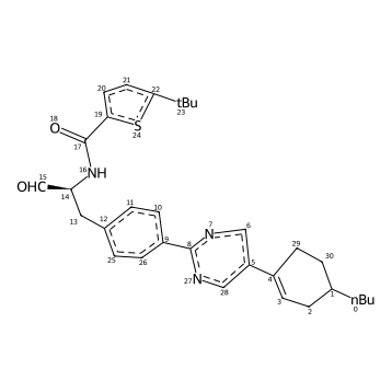 CCCCC1CC=C(c2cnc(-c3ccc(C[C@@H](C=O)NC(=O)c4ccc(C(C)(C)C)s4)cc3)nc2)CC1